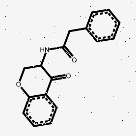 O=C(Cc1ccccc1)NC1COc2ccccc2C1=O